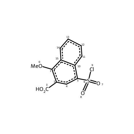 COc1c(C(=O)O)cc(S(=O)(=O)Cl)c2ccccc12